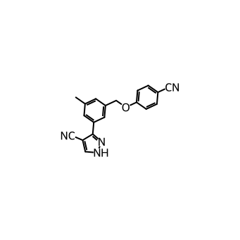 Cc1cc(COc2ccc(C#N)cc2)cc(-c2n[nH]cc2C#N)c1